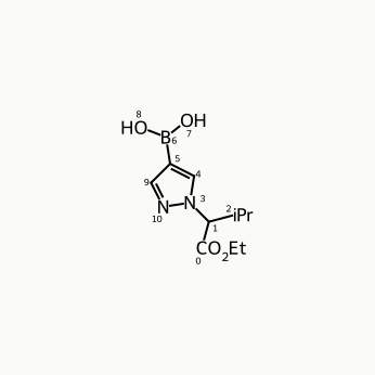 CCOC(=O)C(C(C)C)n1cc(B(O)O)cn1